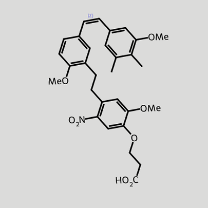 COc1ccc(/C=C\c2cc(C)c(C)c(OC)c2)cc1CCc1cc(OC)c(OCCC(=O)O)cc1[N+](=O)[O-]